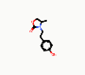 CC1COC(=O)N1CCc1ccc(O)cc1